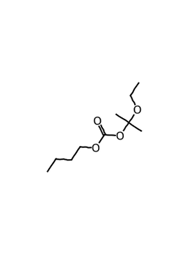 CCCCOC(=O)OC(C)(C)OCC